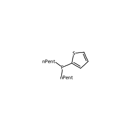 CCCCCP(CCCCC)c1cccs1